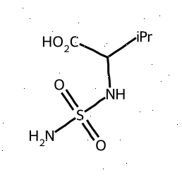 CC(C)C(NS(N)(=O)=O)C(=O)O